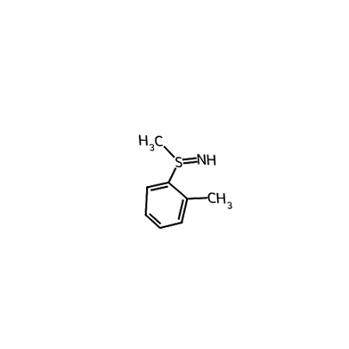 Cc1ccccc1S(C)=N